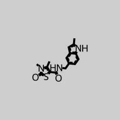 Cc1cc2cc(CNC(=O)c3sc(=O)n(C)c3C)ccc2[nH]1